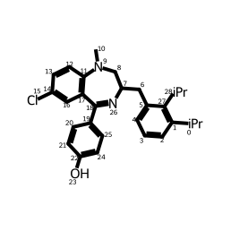 CC(C)c1cccc(CC2CN(C)c3ccc(Cl)cc3C(c3ccc(O)cc3)=N2)c1C(C)C